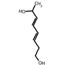 CC(O)/C=C/C=C/CCO